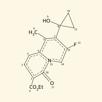 CCOC(=O)c1ccc2c(C)c(C3(O)CC3)c(F)cn2c1=O